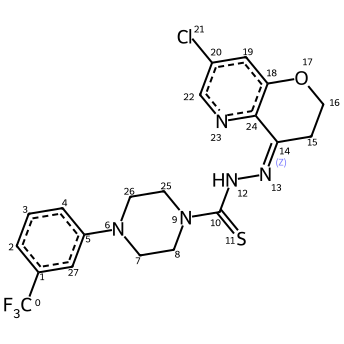 FC(F)(F)c1cccc(N2CCN(C(=S)N/N=C3/CCOc4cc(Cl)cnc43)CC2)c1